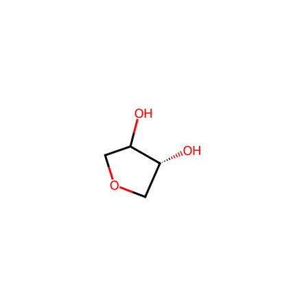 OC1COC[C@H]1O